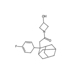 O=C(CC1(C2C=CC(F)=CC2)C2CC3CC(C2)CC1C3)N1CC(O)C1